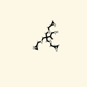 CC(CO)C(COCC1CO1)(COCC1CO1)COCC1CO1